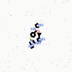 O=C(NC1CCNC1)c1ccc(SN2C=C(Nc3cc(C4CC4)[nH]n3)[N+]3C=CN=C3C2)cc1